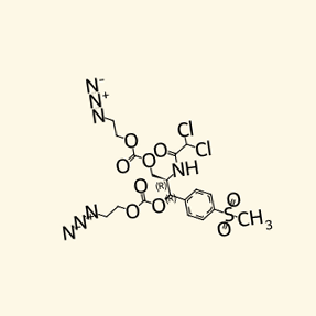 CS(=O)(=O)c1ccc([C@@H](OC(=O)OCCN=[N+]=[N-])[C@@H](COC(=O)OCCN=[N+]=[N-])NC(=O)C(Cl)Cl)cc1